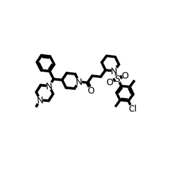 Cc1cc(S(=O)(=O)N2CCCCC2CCC(=O)N2CCC(C(c3ccccc3)N3CCN(C)CC3)CC2)c(C)cc1Cl